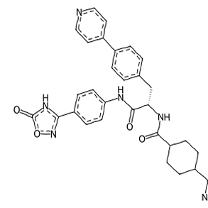 NCC1CCC(C(=O)N[C@@H](Cc2ccc(-c3ccncc3)cc2)C(=O)Nc2ccc(-c3noc(=O)[nH]3)cc2)CC1